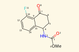 COC(=O)NC1CCC(=O)c2c(F)cccc21